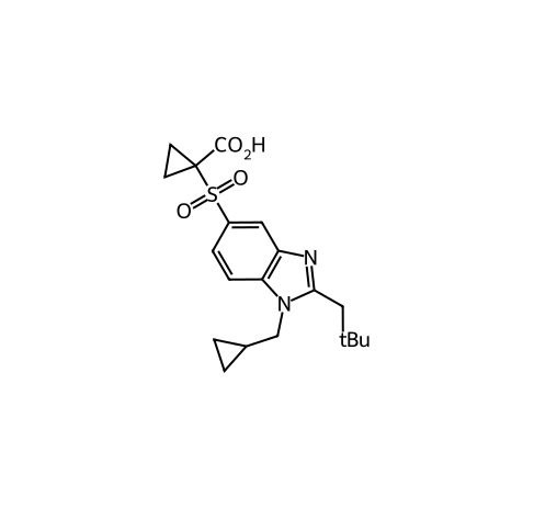 CC(C)(C)Cc1nc2cc(S(=O)(=O)C3(C(=O)O)CC3)ccc2n1CC1CC1